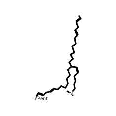 C/C=C/C/C=C/CCCCCCCC(/C=C\CCCCN(C)C)CCCCCCC/C=C/CC=CCCCCC